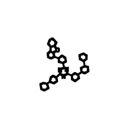 c1ccc(-c2ccc(-c3nc(-c4cccc(-c5cccc(-c6ccccc6)c5)c4)nc(-c4cccc(-c5cccc6c5oc5ccccc56)c4)n3)cc2)cc1